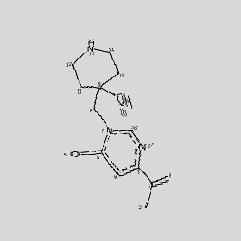 C=C(C)c1cc(=O)n(CC2(O)CCNCC2)cn1